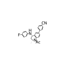 CC(=O)N1c2ccc(-c3ccc(C#N)cc3)cc2[C@@H](Nc2ccc(F)cc2)C[C@H]1C